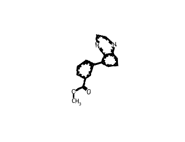 COC(=O)c1cccc(-c2cccc3nccnc23)c1